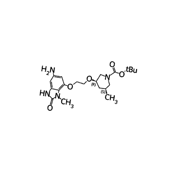 C[C@H]1C[C@@H](OCCOc2cc(N)cc3[nH]c(=O)n(C)c23)CN(C(=O)OC(C)(C)C)C1